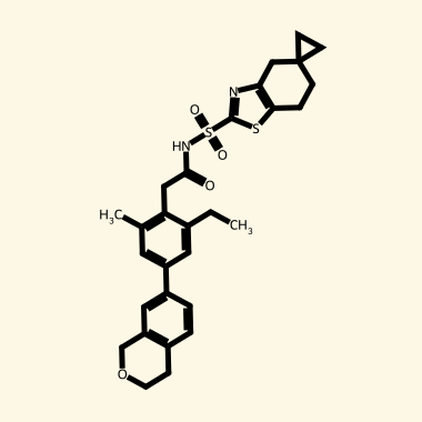 CCc1cc(-c2ccc3c(c2)COCC3)cc(C)c1CC(=O)NS(=O)(=O)c1nc2c(s1)CCC1(CC1)C2